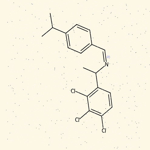 CC(C)c1ccc(/C=N\C(C)c2ccc(Cl)c(Cl)c2Cl)cc1